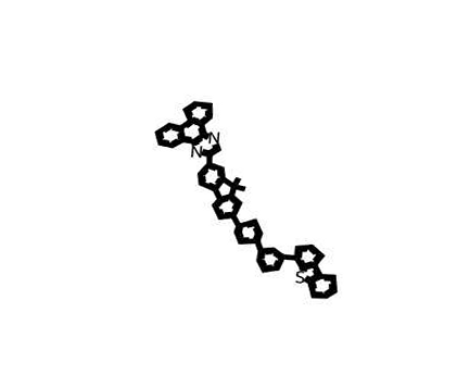 CC1(C)c2cc(-c3ccc(-c4cccc(-c5cccc6c5sc5ccccc56)c4)cc3)ccc2-c2ccc(-c3cnc4c5ccccc5c5ccccc5c4n3)cc21